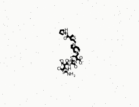 CO/N=C(\C(=O)N[C@@H]1C(=O)N2C(C(=O)[O-])=C(C[n+]3ccc4c(ccn4Cc4cc(C(=O)NN5CCCC5)cs4)c3)CS[C@H]12)c1nc(N)sc1Cl